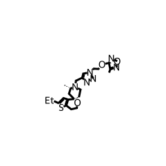 CCc1cc2c(s1)CCO[C@@]21CCN(Cc2cn(CCOc3nonc3C)nn2)[C@@H](C)C1